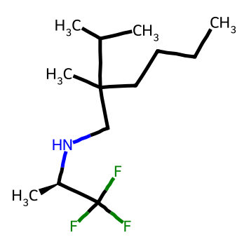 CCCCC(C)(CN[C@H](C)C(F)(F)F)C(C)C